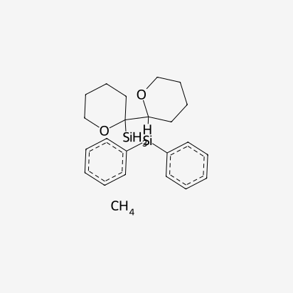 C.[SiH3]C1(C2([SiH](c3ccccc3)c3ccccc3)CCCCO2)CCCCO1